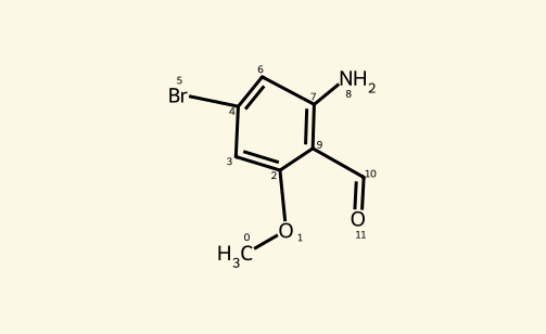 COc1cc(Br)cc(N)c1C=O